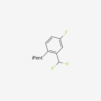 CCCC(C)c1ccc(F)cc1C(F)F